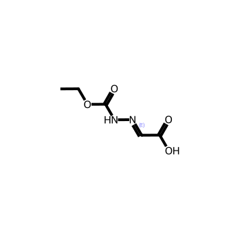 CCOC(=O)N/N=C/C(=O)O